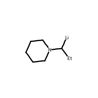 [Li][CH](CC)N1CCCCC1